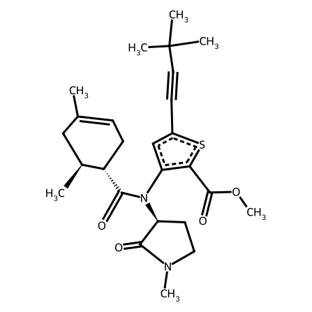 COC(=O)c1sc(C#CC(C)(C)C)cc1N(C(=O)[C@H]1CC=C(C)C[C@@H]1C)[C@H]1CCN(C)C1=O